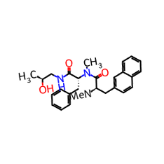 CN[C@H](Cc1ccc2ccccc2c1)C(=O)N(C)[C@H](Cc1ccccc1)C(=O)NC[C@H](C)O